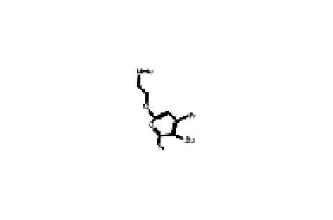 CNCCOc1cc(C(C)C)c(C(C)(C)C)c(C(C)C)n1